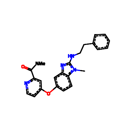 CNC(=O)c1cc(Oc2ccc3c(c2)nc(NCCc2ccccc2)n3C)ccn1